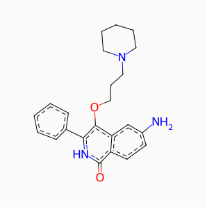 Nc1ccc2c(=O)[nH]c(-c3ccccc3)c(OCCCN3CCCCC3)c2c1